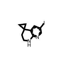 Ic1cnc2c(c1)C1(CCN2)CC1